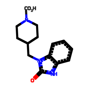 O=C(O)N1CCC(Cn2c(=O)[nH]c3ccccc32)CC1